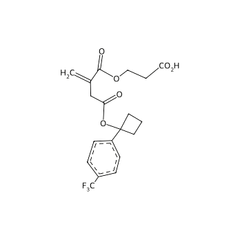 C=C(CC(=O)OC1(c2ccc(C(F)(F)F)cc2)CCC1)C(=O)OCCC(=O)O